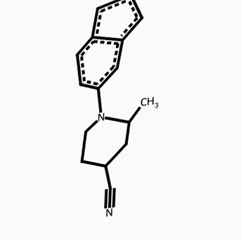 CC1CC(C#N)CCN1c1ccc2c[nH]cc2c1